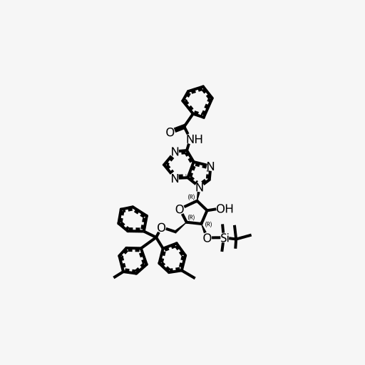 Cc1ccc(C(OC[C@H]2O[C@@H](n3cnc4c(NC(=O)c5ccccc5)ncnc43)C(O)[C@H]2O[Si](C)(C)C(C)(C)C)(c2ccccc2)c2ccc(C)cc2)cc1